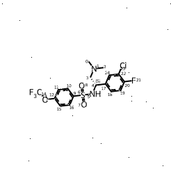 CN(C)C[C@@H](NS(=O)(=O)c1ccc(OC(F)(F)F)cc1)c1ccc(F)c(Cl)c1